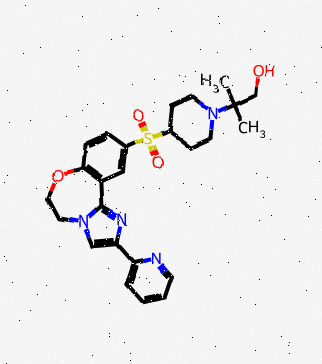 CC(C)(CO)N1CCC(S(=O)(=O)c2ccc3c(c2)-c2nc(-c4ccccn4)cn2CCO3)CC1